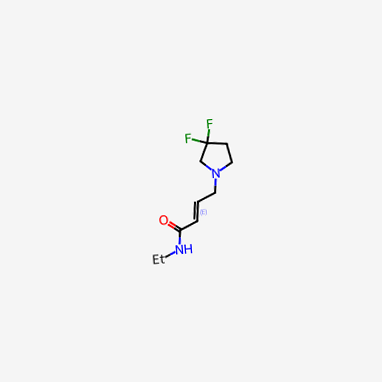 CCNC(=O)/C=C/CN1CCC(F)(F)C1